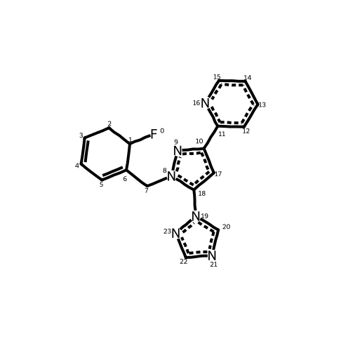 FC1CC=CC=C1Cn1nc(-c2ccccn2)cc1-n1cncn1